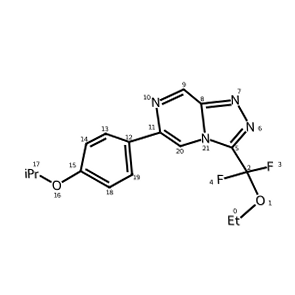 CCOC(F)(F)c1nnc2cnc(-c3ccc(OC(C)C)cc3)cn12